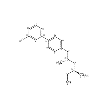 CCOC(=O)[C@@H](CO)C[C@H](N)Cc1ccc(-c2cccc(F)c2)cc1